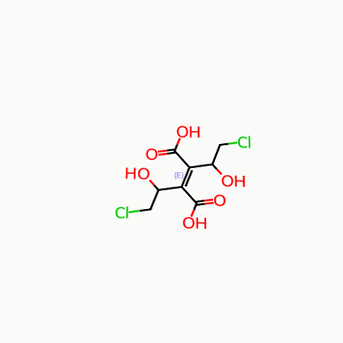 O=C(O)/C(=C(/C(=O)O)C(O)CCl)C(O)CCl